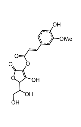 COc1cc(C=CC(=O)OC2=C(O)C(C(O)CO)OC2=O)ccc1O